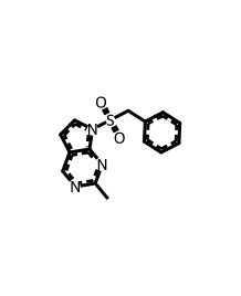 Cc1ncc2ccn(S(=O)(=O)Cc3ccccc3)c2n1